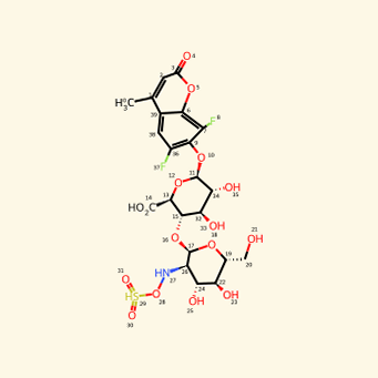 Cc1cc(=O)oc2c(F)c(O[C@@H]3O[C@H](C(=O)O)[C@@H](O[C@H]4O[C@H](CO)[C@@H](O)[C@H](O)[C@H]4NO[SH](=O)=O)[C@H](O)[C@H]3O)c(F)cc12